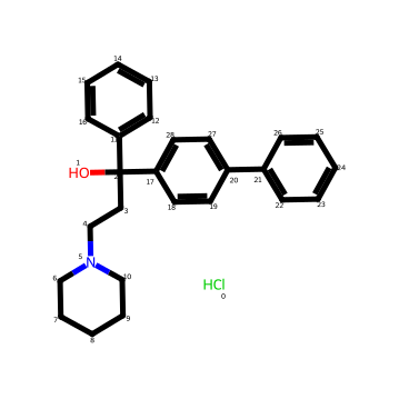 Cl.OC(CCN1CCCCC1)(c1ccccc1)c1ccc(-c2ccccc2)cc1